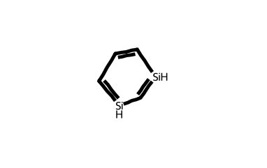 c1c[siH]c[siH]c1